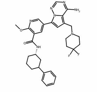 COc1ncc(-c2cc(CN3CCC(F)(F)CC3)c3c(N)ncnn23)cc1C(=O)N[C@H]1CCCC(c2ccccc2)C1